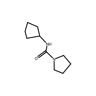 O=C(NC1CCCC1)N1CCCC1